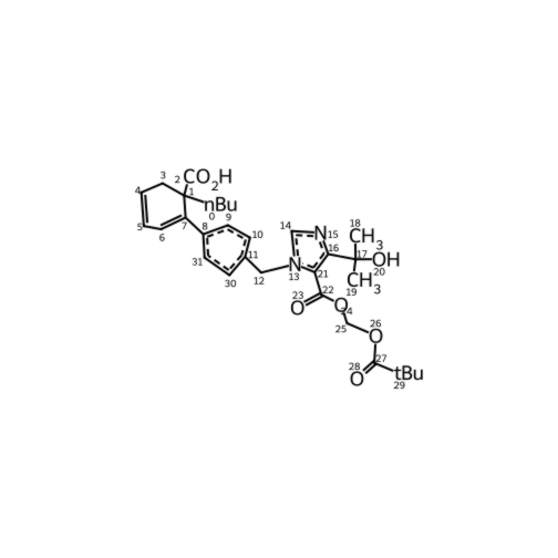 CCCCC1(C(=O)O)CC=CC=C1c1ccc(Cn2cnc(C(C)(C)O)c2C(=O)OCOC(=O)C(C)(C)C)cc1